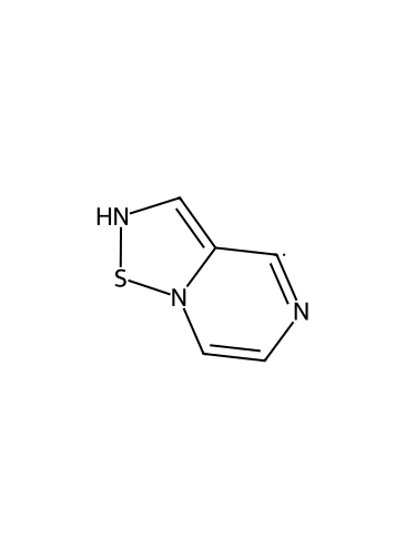 [C]1=NC=CN2SNC=C12